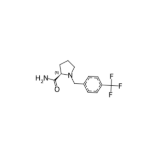 NC(=O)[C@H]1CCCN1Cc1ccc(C(F)(F)F)cc1